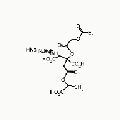 CCC(=O)OCC(=O)OC(CC(=O)O)(CC(=O)OC(C)C(=O)O)C(=O)O.[NaH].[NaH].[NaH].[NaH]